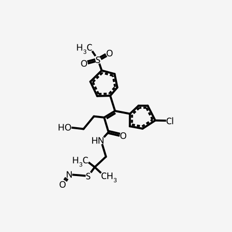 CC(C)(CNC(=O)C(CCO)=C(c1ccc(Cl)cc1)c1ccc(S(C)(=O)=O)cc1)SN=O